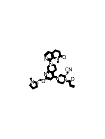 C=CC(=O)N1CCN(c2cc(OC[C@@H]3CCCN3C)nc3c2CCN(c2nccc4c2N(C)C(=O)CC4)C3)C[C@@H]1CC#N